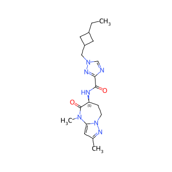 CCC1CC(Cn2cnc(C(=O)N[C@H]3CCn4nc(C)cc4N(C)C3=O)n2)C1